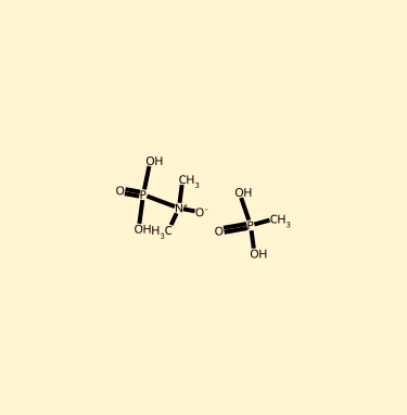 CP(=O)(O)O.C[N+](C)([O-])P(=O)(O)O